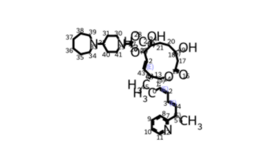 C/C(=C\C=C\[C@H](C)c1ccccn1)[C@H]1OC(=O)C[C@@H](O)CC[C@](C)(O)[C@@H](OC(=O)N2CCC(N3CCCCCC3)CC2)/C=C/[C@@H]1C